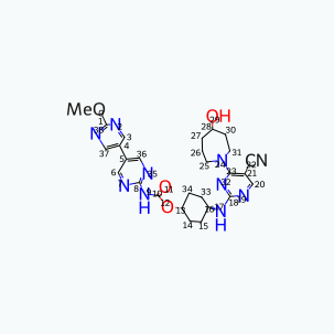 COc1ncc(-c2cnc(NC(=O)O[C@H]3CC[C@H](Nc4ncc(C#N)c(N5CCCC(O)CC5)n4)CC3)nc2)cn1